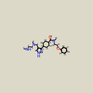 CNCCN(C)Cc1c[nH]nc1C1CCC(C(=O)N(C)CCOc2ccccc2)CC1